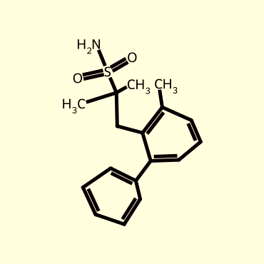 Cc1cccc(-c2ccccc2)c1CC(C)(C)S(N)(=O)=O